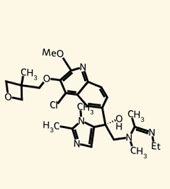 CC/N=C(/C)N(C)C[C@](O)(c1ccc2nc(OC)c(OCC3(C)COC3)c(Cl)c2c1)c1cnc(C)n1C